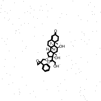 C[C@]12CCC(=O)C=C1CC[C@H]1[C@@H]3C[C@@H](OCC4(c5ccccc5)CO4)[C@](O)(C(=O)CO)[C@@]3(C)C[C@H](O)[C@@]12F